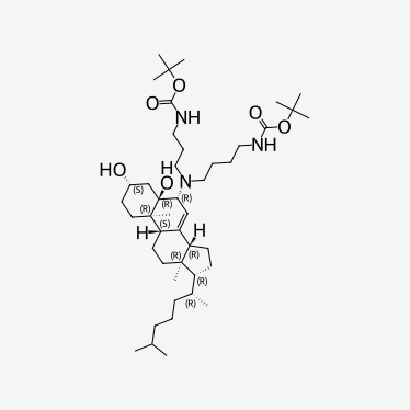 CC(C)CCC[C@@H](C)[C@H]1CC[C@H]2C3=C[C@@H](N(CCCCNC(=O)OC(C)(C)C)CCCNC(=O)OC(C)(C)C)[C@@]4(O)C[C@@H](O)CC[C@]4(C)[C@H]3CC[C@]12C